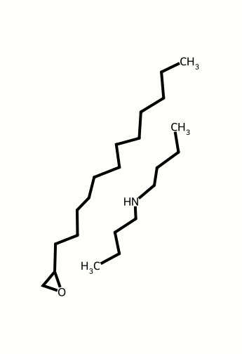 CCCCCCCCCCCCC1CO1.CCCCNCCCC